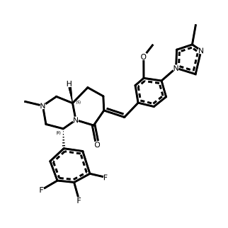 COc1cc(C=C2CC[C@H]3CN(C)C[C@@H](c4cc(F)c(F)c(F)c4)N3C2=O)ccc1-n1cnc(C)c1